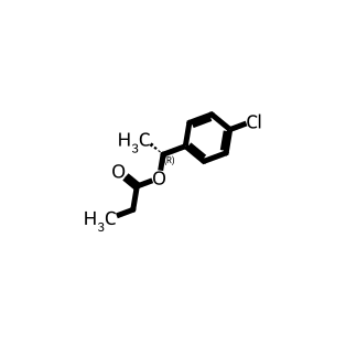 CCC(=O)O[C@H](C)c1ccc(Cl)cc1